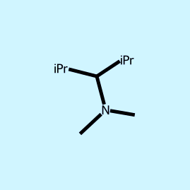 CC(C)C(C(C)C)N(C)C